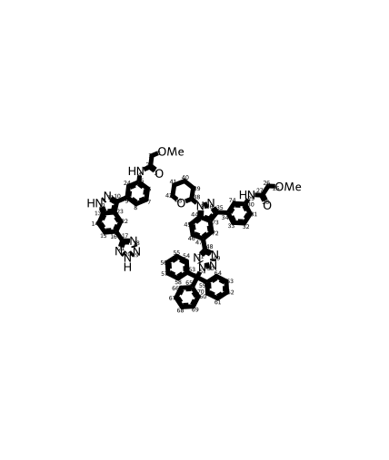 COCC(=O)Nc1cccc(-c2n[nH]c3ccc(-c4nn[nH]n4)cc23)c1.COCC(=O)Nc1cccc(-c2nn(C3CCCCO3)c3ccc(-c4nnn(C(c5ccccc5)(c5ccccc5)c5ccccc5)n4)cc23)c1